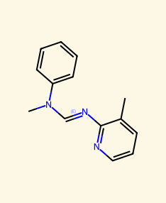 Cc1cccnc1/N=C/N(C)c1ccccc1